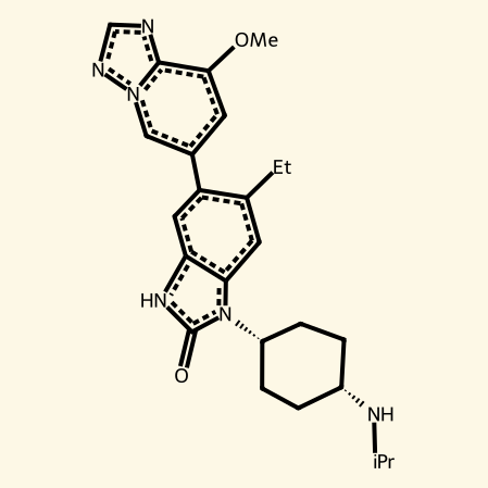 CCc1cc2c(cc1-c1cc(OC)c3ncnn3c1)[nH]c(=O)n2[C@H]1CC[C@@H](NC(C)C)CC1